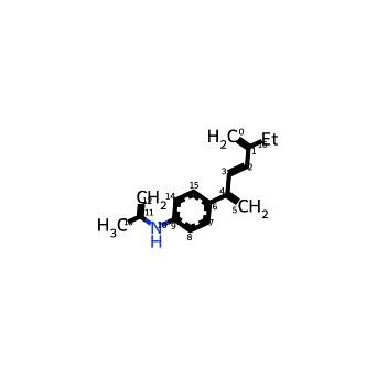 C=C(/C=C/C(=C)c1ccc(NC(=C)C)cc1)CC